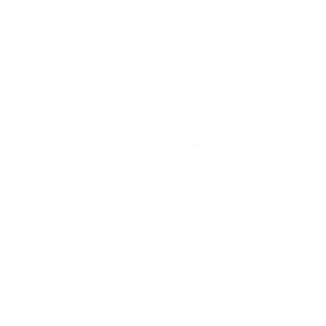 CC(C)(C)C(=O)CC(=O)OC1CCCCC1